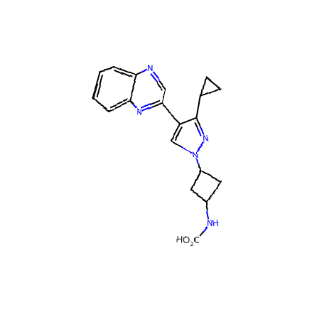 O=C(O)NC1CC(n2cc(-c3cnc4ccccc4n3)c(C3CC3)n2)C1